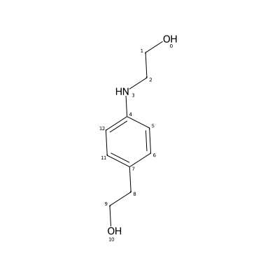 OCCNc1ccc(CCO)cc1